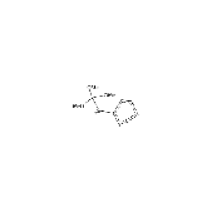 COC(OC)(OC)[SiH2]c1ccccn1